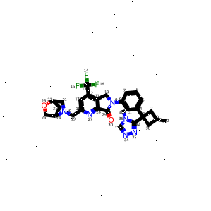 CC1CC(c2cccc(N3Cc4c(C(F)(F)F)cc(CN5CC6CC5CO6)nc4C3=O)c2)(c2nncn2C)C1